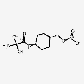 CC(C)(N)C(=O)N[C@H]1CC[C@H](CO[N+](=O)[O-])CC1